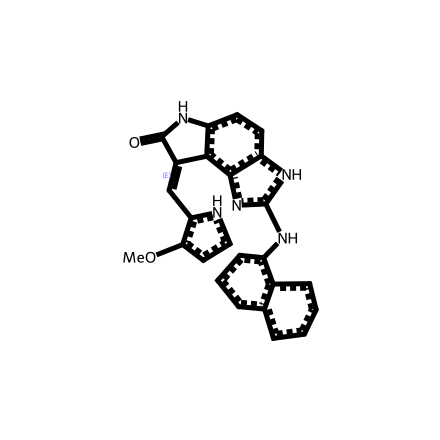 COc1cc[nH]c1/C=C1/C(=O)Nc2ccc3[nH]c(Nc4cccc5ccccc45)nc3c21